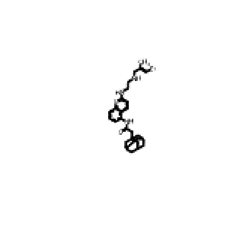 CCC=C(C)CNCCNc1ccc2c(NC(=O)CC34CC5CC(CC(C5)C3)C4)cccc2n1